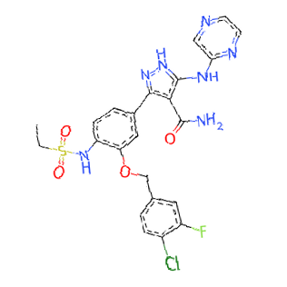 CCS(=O)(=O)Nc1ccc(-c2n[nH]c(Nc3cnccn3)c2C(N)=O)cc1OCc1ccc(Cl)c(F)c1